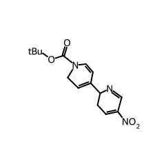 CC(C)(C)OC(=O)N1C=CC(C2CC=C([N+](=O)[O-])C=N2)=CC1